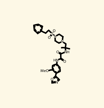 COc1cc(NC(=O)C(=O)NC(C)(C)CN2CCN(S(=O)(=O)CCc3ccccc3)CC2)ccc1-c1cnco1